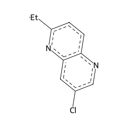 C[CH]c1ccc2ncc(Cl)cc2n1